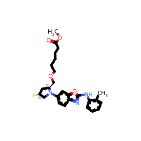 COC(=O)CCCCCOC[C@@H]1C[C@H](F)CN1c1ccc2nc(Nc3ccccc3C)oc2c1